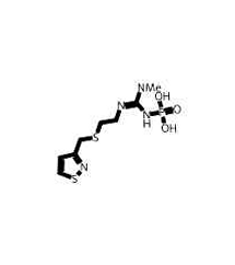 CN/C(=N/CCSCc1ccsn1)NP(=O)(O)O